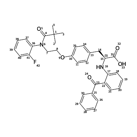 CC(C)(C)C(=O)N(CCOc1ccc(C[C@H](Nc2ccccc2C(=O)c2ccccc2)C(=O)O)cc1)c1ccccc1F